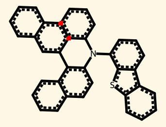 c1ccc(N(c2ccc3ccccc3c2-c2ccc3ccccc3c2)c2cccc3c2sc2ccccc23)cc1